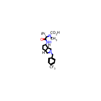 CC(C)[C@@H](C(=O)N[C@@H]1CC[C@H]2CN(Cc3ccc(C(F)(F)F)cc3)C[C@H]21)N(C)C(=O)O